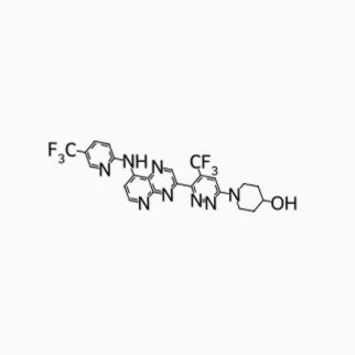 OC1CCN(c2cc(C(F)(F)F)c(-c3cnc4c(Nc5ccc(C(F)(F)F)cn5)ccnc4n3)nn2)CC1